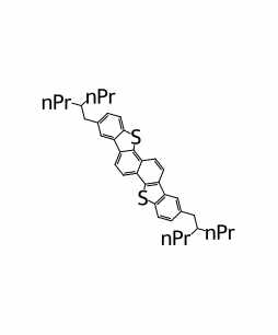 CCCC(CCC)Cc1ccc2sc3c(ccc4c3ccc3c5cc(CC(CCC)CCC)ccc5sc34)c2c1